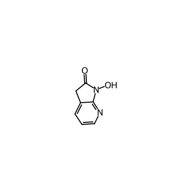 O=C1Cc2cccnc2N1O